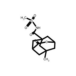 CC12CC3CC(C(=O)NS(C)(=O)=O)(CC(C1)C(=O)O3)C2